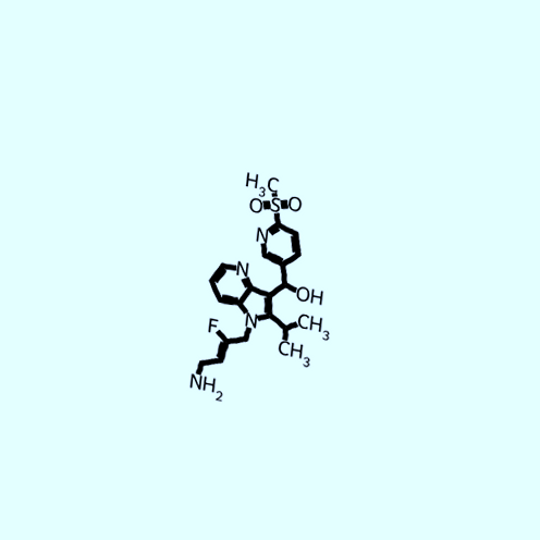 CC(C)c1c(C(O)c2ccc(S(C)(=O)=O)nc2)c2ncccc2n1CC(F)=CCN